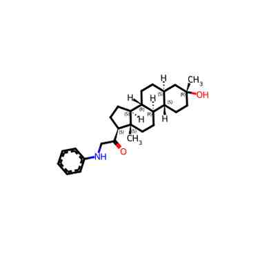 C[C@@]1(O)CC[C@H]2[C@@H](CC[C@@H]3[C@@H]2CC[C@]2(C)[C@@H](C(=O)CNc4ccccc4)CC[C@@H]32)C1